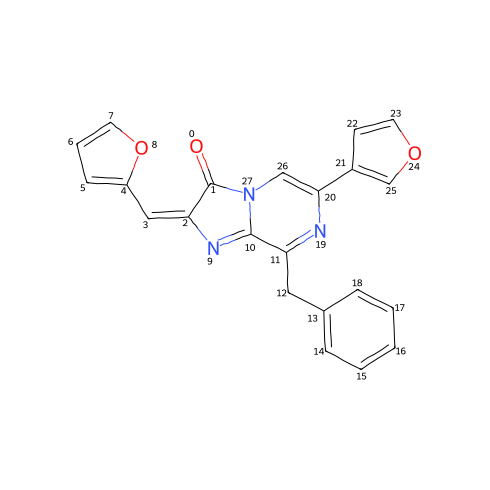 O=C1C(=Cc2ccco2)N=C2C(Cc3ccccc3)=NC(c3ccoc3)=CN12